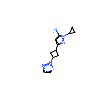 Nc1cc(C2CC(n3nccn3)C2)nn1C1CC1